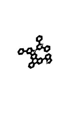 c1ccc(-c2ccc3c(c2)c2cc4c5ccccc5c5ccc(-c6cccc7ccsc67)cc5c4cc2n3-c2cc(-c3ccccc3)nc(-c3ccccc3)c2)cc1